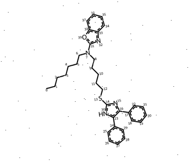 CCCCCCCN(CCCCCSc1nc(-c2ccccc2)c(-c2ccccc2)[nH]1)c1nc2ccccc2o1